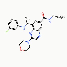 CCOC(=O)CNC(=O)c1cc(C(C)Nc2cccc(F)c2)c2nc(N3CCOCC3)cnc2c1